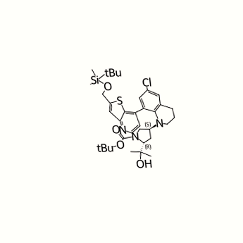 CC(C)(C)OC(=O)N1C[C@@H](N2CCCc3cc(Cl)cc(-c4ccnc5cc(CO[Si](C)(C)C(C)(C)C)sc45)c32)C[C@@H]1C(C)(C)O